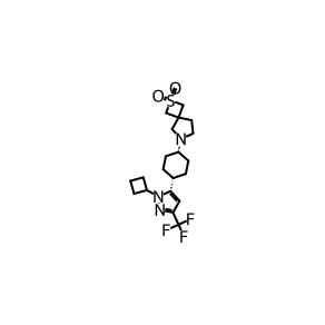 O=S1(=O)CC2(CCN([C@H]3CC[C@@H](c4cc(C(F)(F)F)nn4C4CCC4)CC3)C2)C1